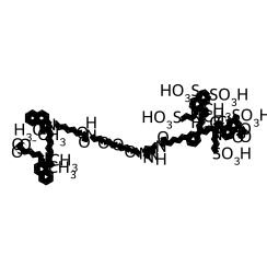 CC1(C)C(=CC=CC=CC2=[N+](CCCCS(=O)(=O)[O-])c3ccc4ccccc4c3C2(C)C)N(CCCCCCOC(=O)NCCOCCOCCOCCn2cc(CNC(=O)CCCCc3cccc(C(C=CC4=[N+](CCCS(=O)(=O)O)c5ccc6c(S(=O)(=O)[O-])cc(S(=O)(=O)O)cc6c5C4(C)C)=CC=C4N(CCCS(=O)(=O)O)c5ccc6c(S(=O)(=O)O)cc(S(=O)(=O)O)cc6c5C4(C)C)c3)nn2)c2ccc3ccccc3c21